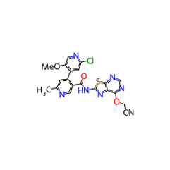 COc1cnc(Cl)cc1-c1cc(C)ncc1C(=O)Nc1nc2c(OCC#N)ncnc2s1